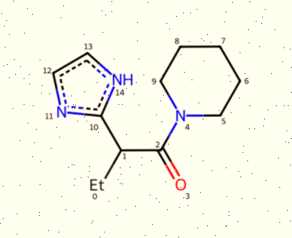 CCC(C(=O)N1CCCCC1)c1ncc[nH]1